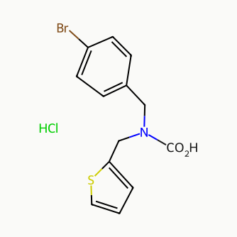 Cl.O=C(O)N(Cc1ccc(Br)cc1)Cc1cccs1